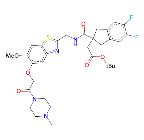 COc1cc2sc(CNC(=O)C3(CC(=O)OC(C)(C)C)Cc4cc(F)c(F)cc4C3)nc2cc1OCC(=O)N1CCN(C)CC1